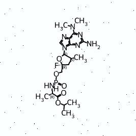 CC(C)OC(=O)[C@@H](C)N[PH](=O)OC[C@]1(F)C[C@H](C)[C@H](n2cnc3c(N(C)C)nc(N)nc32)O1